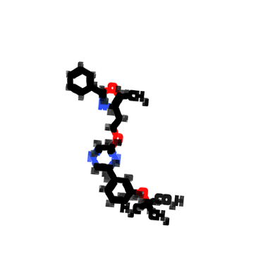 Cc1oc(-c2ccccc2)nc1CCOc1cncc(-c2cccc(OC(C)(C)C(=O)O)c2)n1